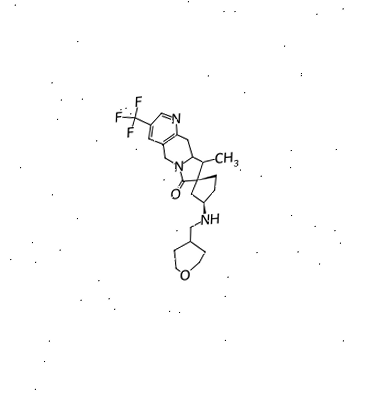 CC1C2Cc3ncc(C(F)(F)F)cc3CN2C(=O)[C@]12CC[C@@H](NCC1CCOCC1)C2